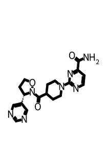 NC(=O)c1ccnc(N2CCC(C(=O)N3OCC[C@H]3c3cncnc3)CC2)n1